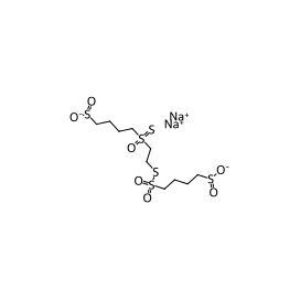 O=S([O-])CCCCS(=O)(=O)SCCS(=O)(=S)CCCCS(=O)[O-].[Na+].[Na+]